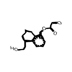 O=CC(=O)Oc1cccc2c1CCCC2CO